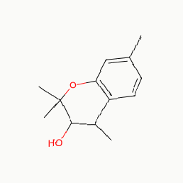 Cc1ccc2c(c1)OC(C)(C)C(O)C2C